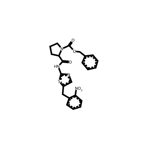 O=C(Nc1ncc(Cc2ccccc2[N+](=O)[O-])s1)C1CCCN1C(=O)OCc1ccccc1